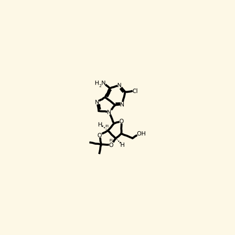 CC1(C)O[C@@H]2C(CO)OC(n3cnc4c(N)nc(Cl)nc43)[C@@H]2O1